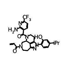 C=CC(=O)N1CCc2nn(-c3ccc(C(C)C)cc3O)c3c2C(C1)N(C(=O)c1ccc(C(F)(F)F)nc1N)CC3